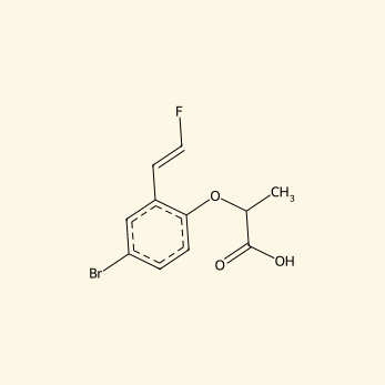 CC(Oc1ccc(Br)cc1/C=C/F)C(=O)O